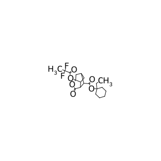 CCC1(OC(=O)C2C3CC4C2C(=O)OC4(OC(=O)C(C)(F)F)C3)CCCCC1